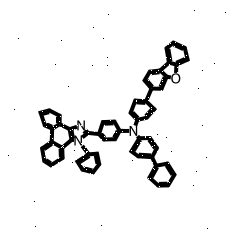 c1ccc(-c2ccc(N(c3ccc(-c4ccc5c(c4)oc4ccccc45)cc3)c3ccc(-c4nc5c6ccccc6c6ccccc6c5n4-c4ccccc4)cc3)cc2)cc1